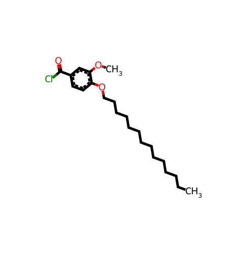 CCCCCCCCCCCCCCOc1ccc(C(=O)Cl)cc1OC